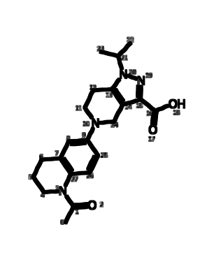 CC(=O)N1CCCc2cc(N3CCc4c(c(C(=O)O)nn4C(C)C)C3)ccc21